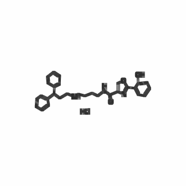 Cl.O=C(NCCCCNCCC(c1ccccc1)c1ccccc1)c1coc(-c2ccccc2O)n1